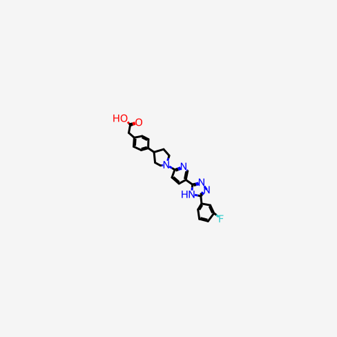 O=C(O)Cc1ccc(C2CCN(c3ccc(-c4nnc(-c5cccc(F)c5)[nH]4)cn3)CC2)cc1